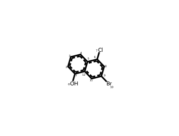 Oc1cccc2c(Cl)cc(Br)cc12